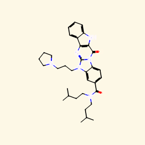 CC(C)CCN(CCC(C)C)C(=O)c1ccc2c(c1)n(CCCN1CCCC1)c1nc3c([nH]c4ccccc43)c(=O)n21